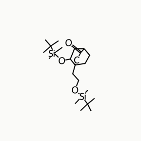 CC(C)(C)[Si](C)(C)OCCC12CCC(CC1O[Si](C)(C)C(C)(C)C)C(=O)C2